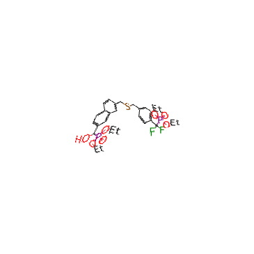 CCOP(=O)(OCC)C(O)c1ccc2ccc(CSCc3ccc(C(F)(F)P(=O)(OCC)OCC)cc3)cc2c1